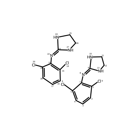 Clc1cccc(Cl)c1N=C1NCCN1.Clc1cccc(Cl)c1N=C1NCCN1